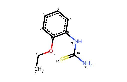 CCOc1ccccc1NC(N)=S